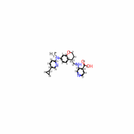 CN(c1ccc2c(c1)OCC[C@H]2CNc1cnccc1C(=O)O)c1ccc(C2CC2)cn1